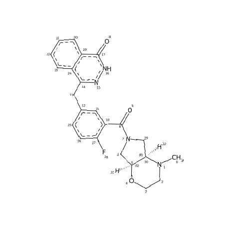 CN1CCO[C@H]2CN(C(=O)c3cc(Cc4n[nH]c(=O)c5ccccc45)ccc3F)C[C@H]21